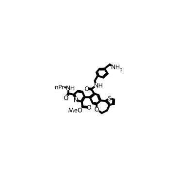 CCCNC(=O)c1ccc(-c2cc3c(cc2C(=O)NCc2ccc(CN)cc2)-c2sccc2CCO3)c(C(=O)OC)n1